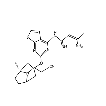 C/C(N)=C/C(=N)Nc1nc(OC2CC3CC[C@@H](C2)N3CCC#N)nc2sccc12